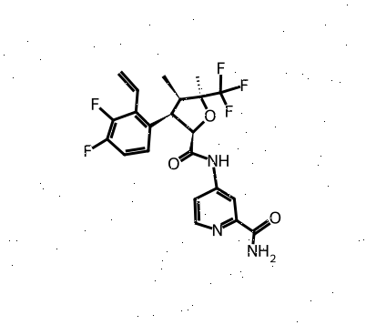 C=Cc1c([C@H]2[C@@H](C)[C@@](C)(C(F)(F)F)O[C@H]2C(=O)Nc2ccnc(C(N)=O)c2)ccc(F)c1F